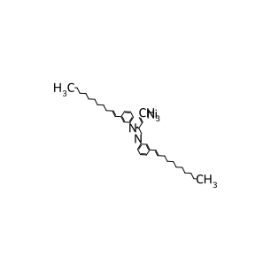 CC=CC(C=Nc1cccc(C=CCCCCCCCCC)c1)=Nc1cccc(C=CCCCCCCCCC)c1.[Ni]